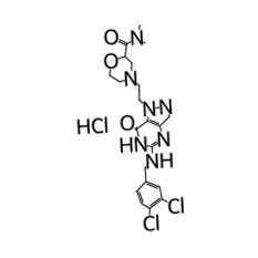 CN(C)C(=O)C1CN(CCn2ncc3nc(NCc4ccc(Cl)c(Cl)c4)[nH]c(=O)c32)CCO1.Cl